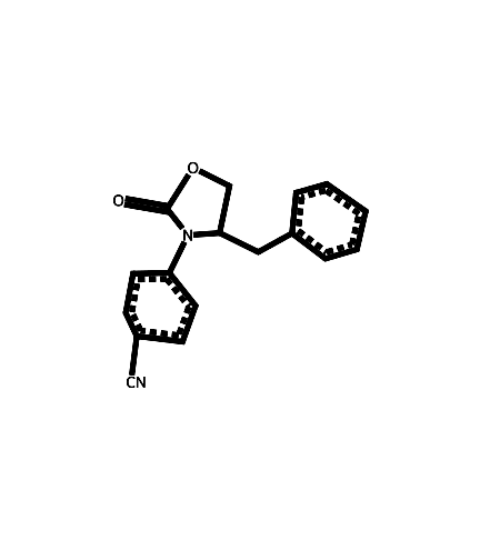 N#Cc1ccc(N2C(=O)OCC2Cc2ccccc2)cc1